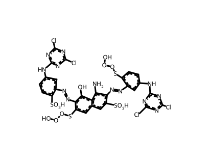 Nc1c(/N=N/c2cc(Nc3nc(Cl)nc(Cl)n3)ccc2SOOO)c(S(=O)(=O)O)cc2cc(SOOO)c(/N=N/c3cc(Nc4nc(Cl)nc(Cl)n4)ccc3S(=O)(=O)O)c(O)c12